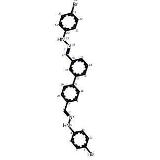 Brc1ccc(N/N=C/c2ccc(-c3cccc(/C=N/Nc4ccc(Br)cc4)c3)cc2)cc1